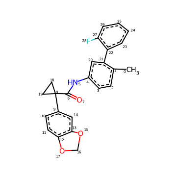 Cc1ccc(NC(=O)C2(c3ccc4c(c3)OCO4)CC2)cc1-c1ccccc1F